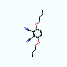 CCCCOc1ccc(OCCCC)c(C#N)c1C#N